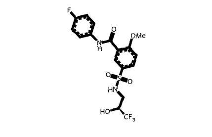 COc1ccc(S(=O)(=O)NC[C@H](O)C(F)(F)F)cc1C(=O)Nc1ccc(F)cc1